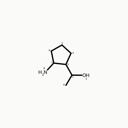 CC(O)C1CCCC1N